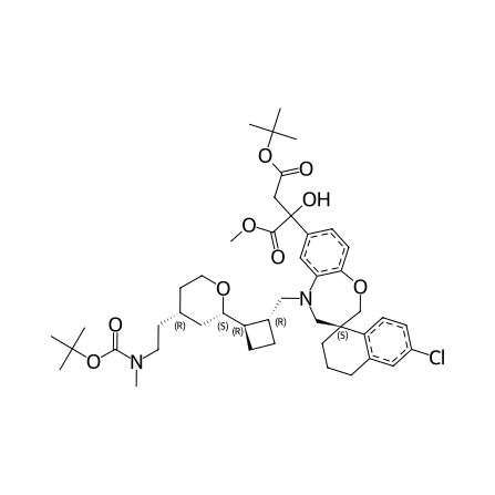 COC(=O)C(O)(CC(=O)OC(C)(C)C)c1ccc2c(c1)N(C[C@@H]1CC[C@H]1[C@@H]1C[C@H](CCN(C)C(=O)OC(C)(C)C)CCO1)C[C@@]1(CCCc3cc(Cl)ccc31)CO2